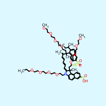 C=C(/C=C/C=C/C=C1/N(CCOCCOCCOCCOCCC)c2ccc3cc(S(=O)O)ccc3c2C1(C)CCOCCOCCOCCOC)C(C)(CCOCCOCCOCCOC)c1c(C(C)CC)ccc2cc(S(=O)(=O)S)ccc12